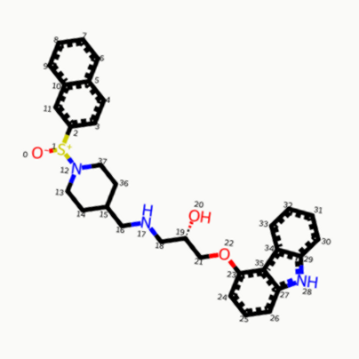 [O-][S+](c1ccc2ccccc2c1)N1CCC(CNC[C@H](O)COc2cccc3[nH]c4ccccc4c23)CC1